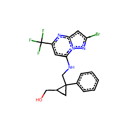 OCC1CC1(CNc1cc(C(F)(F)F)nc2cc(Br)nn12)c1ccccc1